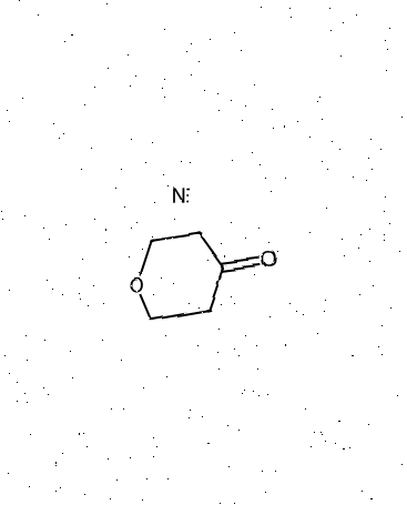 O=C1CCOCC1.[N]